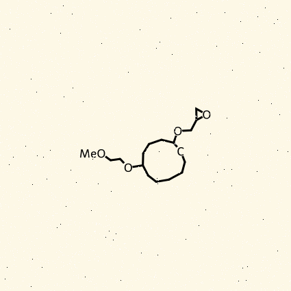 COCCOC1CCCCCCC(OCC2CO2)CCC1